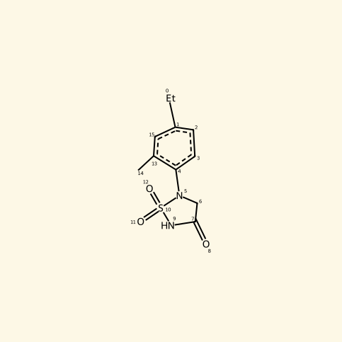 CCc1ccc(N2CC(=O)NS2(=O)=O)c(C)c1